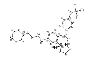 FC(F)(F)Sc1ccc([C@@H]2CN3CCC[C@@H]3c3cc(OCCCN4CCOCC4)ccc32)cc1